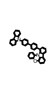 c1ccc2c(c1)Oc1cccc3c4cccc(-c5ccc(-c6ccc(-n7c8ccccc8c8ccccc87)cc6)cc5)c4n-2c13